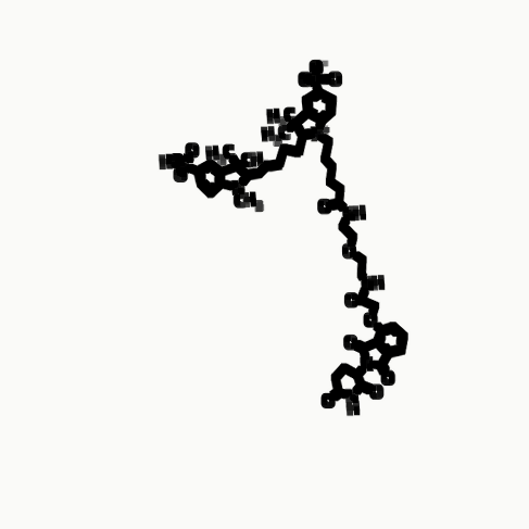 CN1/C(=C/C=C/C=C/C2=[N+](CCCCCC(=O)NCCOCCNC(=O)COc3cccc4c3C(=O)N(C3CCC(=O)NC3=O)C4=O)c3ccc(S(=O)(=O)[O-])cc3C2(C)C)C(C)(C)c2cc(S(=O)(=O)O)ccc21